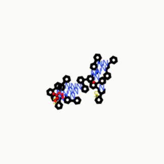 c1ccc(-c2cc(-c3ccccc3)nc(-n3c4ccccc4c4ccc5c(nc6n(-c7ccccc7-c7ccccc7-c7nccc8c7sc7ccccc78)c7ccc(-c8cccc9c8c8ccccc8n9-c8nc(-n9c%10ccccc%10c%10ccccc%109)nc(-n9c%10ccccc%10c%10ccc%11c(nc%12n(-c%13ccccc%13-c%13ccccc%13-c%13nccc%14c%13sc%13ccccc%13%14)c%13ccccc%13n%11%12)c%109)n8)cc7n56)c43)n2)cc1